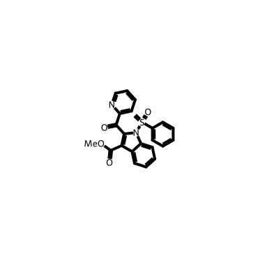 C=S(=O)(c1ccccc1)n1c(C(=O)c2ccccn2)c(C(=O)OC)c2ccccc21